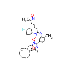 C=C(CCCC/C(=N/c1cc(-c2noc(CC3CCCC/C=C\C=C/C3C)n2)ccc1C)N(C=O)c1ccc(F)cc1)N=O